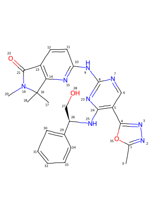 Cc1nnc(-c2cnc(Nc3ccc4c(n3)C(C)(C)N(C)C4=O)nc2N[C@H](CO)c2ccccc2)o1